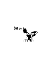 CCCn1c(CC)nc2c(N3CCOCC3)nc(SCc3ccc(OC)cc3)nc21